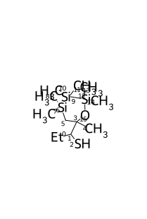 CCC(S)C1(C)C[Si](C)(C)[Si](C)(C)[Si](C)(C)O1